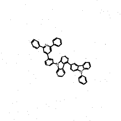 c1ccc(-c2cc(-c3cccc(-n4c5ccccc5c5c(-c6ccc7c(c6)c6ccccc6n7-c6ccccc6)cccc54)c3)cc(-c3ccccc3)n2)cc1